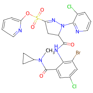 CN(C(=O)c1cc(Cl)cc(Br)c1NC(=O)C1CC(S(=O)(=O)Oc2ccccn2)=NN1c1ncccc1Cl)C1CC1